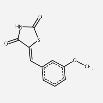 O=C1NC(=O)C(=Cc2cccc(OC(F)(F)F)c2)S1